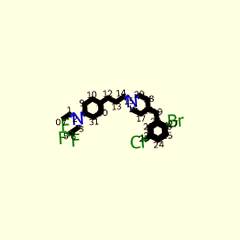 CCN(CC(F)(F)F)C1CCC(CCCN2CCC(Cc3cc(Cl)ccc3Br)CC2)CC1